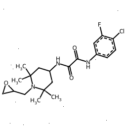 CC1(C)CC(NC(=O)C(=O)Nc2ccc(Cl)c(F)c2)CC(C)(C)N1CC1CO1